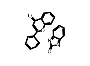 O=C1N=c2ccccc2=N1.O=c1cc(-c2ccccc2)oc2ccccc12